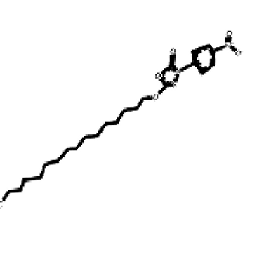 CCCCCCCCCCCCCCCCOc1nn(-c2ccc([N+](=O)[O-])cc2)c(=O)o1